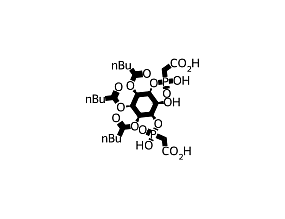 CCCCC(=O)O[C@@H]1[C@@H](OC(=O)CCCC)[C@H](OP(=O)(O)CC(=O)O)[C@@H](O)[C@@H](OP(=O)(O)CC(=O)O)[C@H]1OC(=O)CCCC